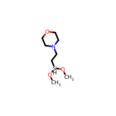 CO[SiH](CCN1CCOCC1)OC